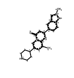 Cc1nc(C2CCNCC2)cn2c(=O)cc(-c3ccc4nn(C)cc4c3)nc12